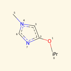 CC(C)Oc1cn(C)cn1